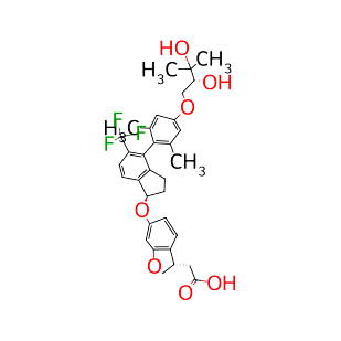 Cc1cc(OC[C@@H](O)C(C)(C)O)cc(C)c1-c1c(C(F)(F)F)ccc2c1CC[C@H]2Oc1ccc2c(c1)OC[C@H]2CC(=O)O